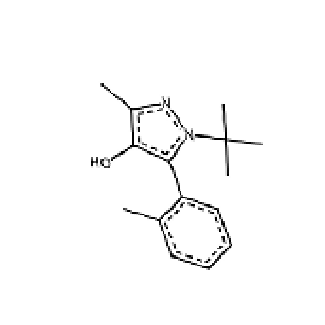 Cc1ccccc1-c1c(O)c(C)nn1C(C)(C)C